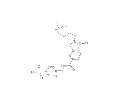 CCS(=O)(=O)c1ccc(CNC(=O)c2cnc3c(c2)CN(CC2CCC(F)(F)CC2)[C@H]3C(C)C)nc1